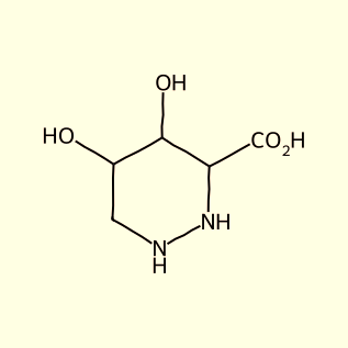 O=C(O)C1NNCC(O)C1O